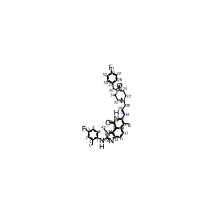 Cc1cc(F)ccc1Nc1nc2ccc3c(C)c(/C=C/CN4CCP(=O)(Cc5ccc(F)cc5)CC4)[nH]c(=O)c3c2n1C